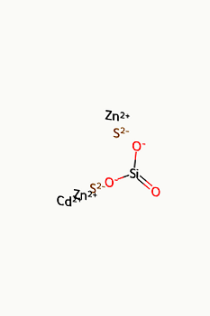 O=[Si]([O-])[O-].[Cd+2].[S-2].[S-2].[Zn+2].[Zn+2]